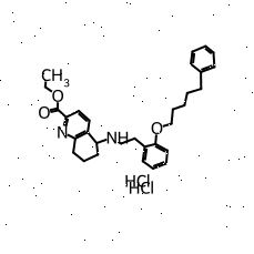 CCOC(=O)c1ccc2c(n1)CCCC2NCCc1ccccc1OCCCCCc1ccccc1.Cl.Cl